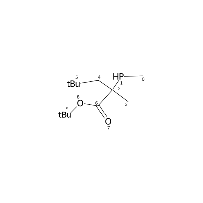 CPC(C)(CC(C)(C)C)C(=O)OC(C)(C)C